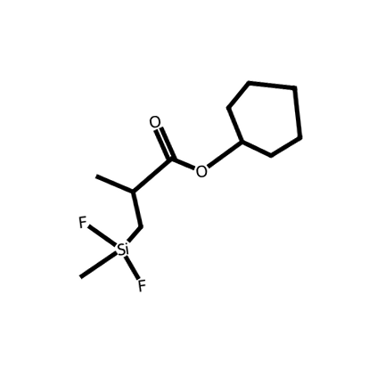 CC(C[Si](C)(F)F)C(=O)OC1CCCCC1